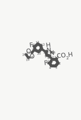 O=C(O)c1cccc(F)c1-c1cc(-c2ccc(F)c(C3OCCO3)c2)[nH]n1